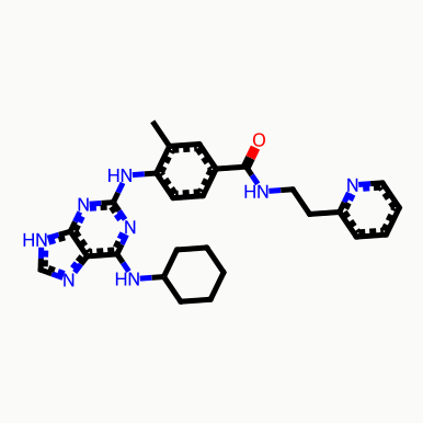 Cc1cc(C(=O)NCCc2ccccn2)ccc1Nc1nc(NC2CCCCC2)c2nc[nH]c2n1